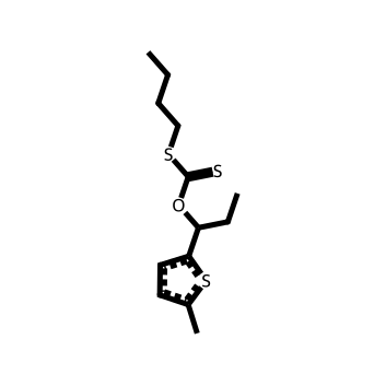 CCCCSC(=S)OC(CC)c1ccc(C)s1